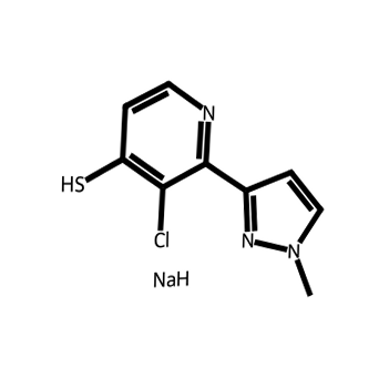 Cn1ccc(-c2nccc(S)c2Cl)n1.[NaH]